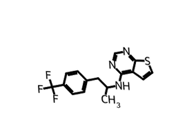 CC(Cc1ccc(C(F)(F)F)cc1)Nc1ncnc2sccc12